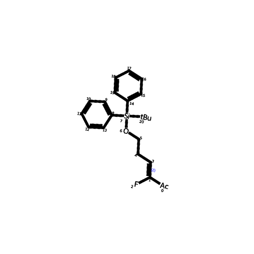 CC(=O)/C(F)=C/CCO[Si](c1ccccc1)(c1ccccc1)C(C)(C)C